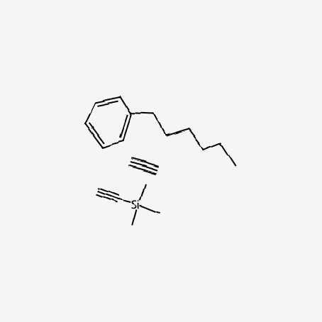 C#C.C#C[Si](C)(C)C.CCCCCCc1ccccc1